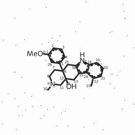 COc1cccc(C23CCN(C)CC2(O)Cc2c([nH]c4cccc(C)c24)C3)c1